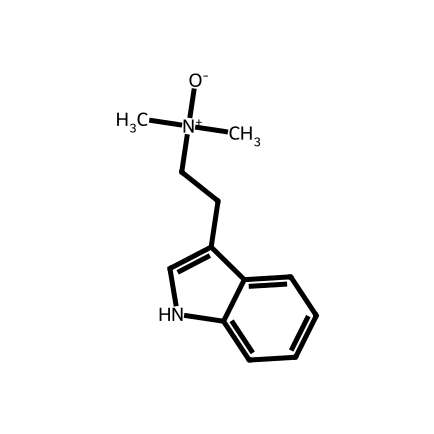 C[N+](C)([O-])CCc1c[nH]c2ccccc12